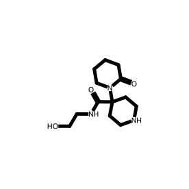 O=C1CCCCN1C1(C(=O)NCCO)CCNCC1